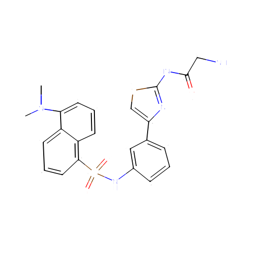 CN(C)c1cccc2c(S(=O)(=O)Nc3cccc(-c4csc(NC(=O)CN)n4)c3)cccc12